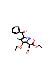 CCOC(=O)C(=C=O)c1[nH]c(C(=O)c2ccccc2)c(C)c1OCC